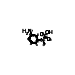 CN(c1cccc(N)c1)S(=O)(=O)O